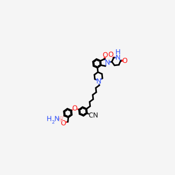 N#Cc1ccc(Oc2ccc3c(c2)COB3N)cc1CCCCCCCN1CCC(c2cccc3c2CN(C2CCC(=O)NC2=O)C3=O)CC1